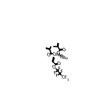 C=C(C)C(=O)OC.C=C(C)C(=O)OCCCC.C=CC(=O)OC(F)(F)C(F)(F)C(F)(F)F